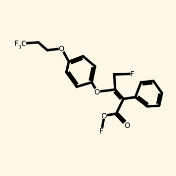 O=C(OF)C(=C(CF)Oc1ccc(OCCC(F)(F)F)cc1)c1ccccc1